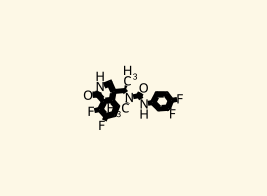 C[C@H](c1c[nH]c(=O)c2c(F)c(F)ccc12)N(C)C(=O)Nc1ccc(F)c(F)c1